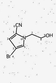 N#Cc1cc(Br)cn1CCO